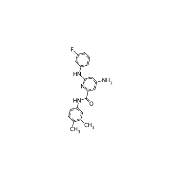 Cc1ccc(NC(=O)c2cc(N)cc(Nc3cccc(F)c3)n2)cc1C